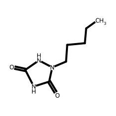 CCCCCn1[nH]c(=O)[nH]c1=O